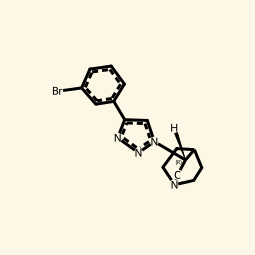 Brc1cccc(-c2cn([C@H]3CN4CCC3CC4)nn2)c1